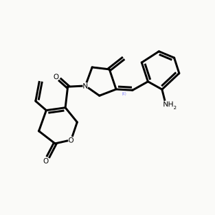 C=CC1=C(C(=O)N2CC(=C)/C(=C\c3ccccc3N)C2)COC(=O)C1